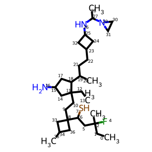 CCC(C)(F)CC(S)C1(CCC2(CC)CC(N)CC2C(C)CCC2CC(NC(C)N3CC3)C2)CC(C)C1